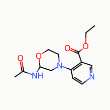 CCOC(=O)c1cnccc1N1CCOC(NC(C)=O)C1